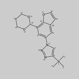 C[Si](C)(C)c1cn(-c2cc(C3OCCCO3)c3occc3c2)nn1